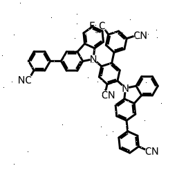 N#Cc1cccc(-c2ccc3c(c2)c2ccccc2n3-c2cc(-c3cc(C#N)cc(C(F)(F)F)c3)c(-n3c4ccccc4c4cc(-c5cccc(C#N)c5)ccc43)cc2C#N)c1